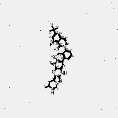 CC1Cc2cc(Nc3cc(-c4cccc(-n5ncc6cc(C(C)(C)C)cc(F)c6c5=O)c4CO)nn(C)c3=O)nn2CN1